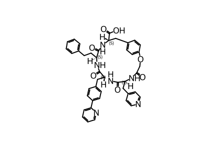 O=C1COc2ccc(cc2)C[C@@H](C(=O)O)NC(=O)[C@H](CCc2ccccc2)NC(=O)[C@@H](Cc2ccc(-c3ccccn3)cc2)NC(=O)[C@H](Cc2ccncc2)N1